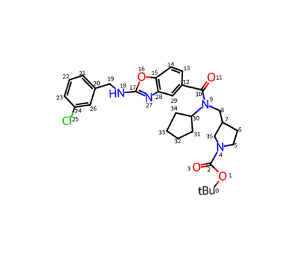 CC(C)(C)OC(=O)N1CCC(CN(C(=O)c2ccc3oc(NCc4cccc(Cl)c4)nc3c2)C2CCCC2)C1